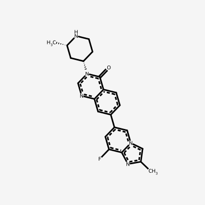 Cc1cn2cc(-c3ccc4c(=O)n([C@H]5CCN[C@@H](C)C5)cnc4c3)cc(F)c2n1